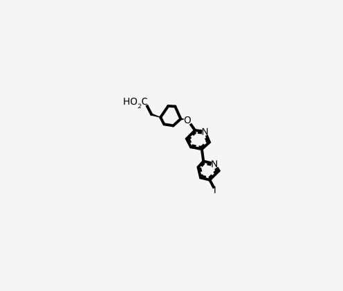 O=C(O)C[C@H]1CC[C@H](Oc2ccc(-c3ccc(I)cn3)cn2)CC1